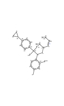 Cc1ccc(C(CN(N)/C=N\N)C(F)(F)c2ccc(C3CC3)cn2)c(F)c1